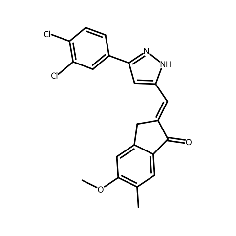 COc1cc2c(cc1C)C(=O)/C(=C/c1cc(-c3ccc(Cl)c(Cl)c3)n[nH]1)C2